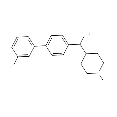 N#Cc1cccc(-c2ccc(C(O)C3CCN(S)CC3)cc2)c1